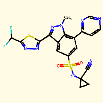 Cn1nc(-c2nnc(C(F)F)s2)c2cc(S(=O)(=O)NC3(C#N)CC3)cc(-c3ccncn3)c21